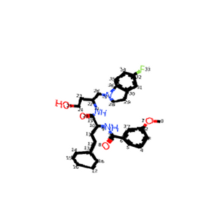 COc1cccc(C(=O)NC(CCC2CCCCC2)C(=O)NC(CCO)CN2CCc3cc(F)ccc32)c1